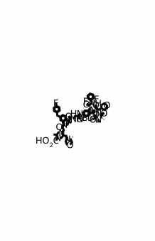 CC1CN(CC(=O)N2CC(C)(C(=O)NCC(=O)Nc3ccc4c(c3)[C@@H](C(=O)Nc3c(F)cccc3F)N(C(=O)[C@@H](NC(=O)[C@H](C)N(C)C(=O)OC(C)(C)C)C3CCOCC3)C4)c3ccc(Cc4ccc(F)cc4)cc32)C(CN2CCOC[C@H]2C)CN1C(=O)O